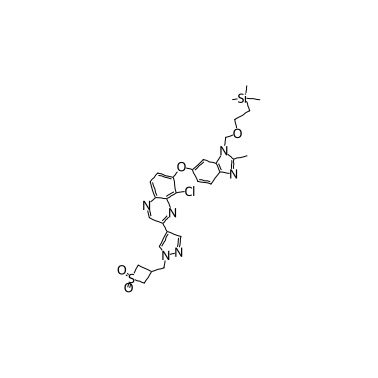 Cc1nc2ccc(Oc3ccc4ncc(-c5cnn(CC6CS(=O)(=O)C6)c5)nc4c3Cl)cc2n1COCC[Si](C)(C)C